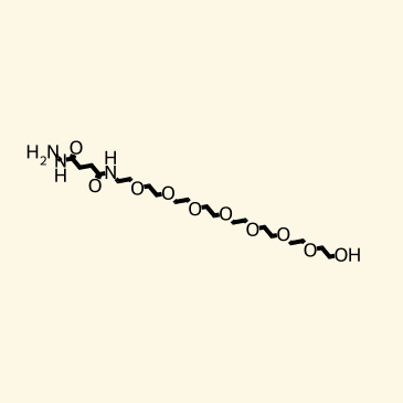 NNC(=O)CCC(=O)NCCOCCOCCOCCOCCOCCOCCOCCO